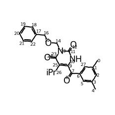 Cc1cc(C)cc(C(=O)c2[nH]c(=O)n(COCc3ccccc3)c(=O)c2C(C)C)c1